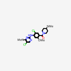 CNc1nc(Nc2cc(OC)c(C(=O)N3CCC(NC)CC3)cc2Cl)ncc1Cl